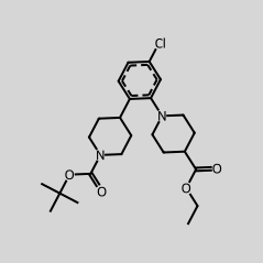 CCOC(=O)C1CCN(c2cc(Cl)ccc2C2CCN(C(=O)OC(C)(C)C)CC2)CC1